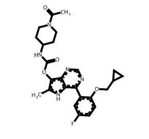 CC(=O)N1CCC(NC(=O)Oc2c(C)[nH]c3c(-c4cc(F)ccc4OCC4CC4)ncnc23)CC1